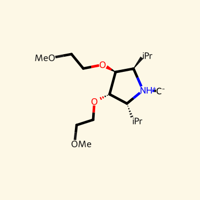 [CH2-][NH+]1[C@H](C(C)C)[C@H](OCCOC)[C@@H](OCCOC)[C@H]1C(C)C